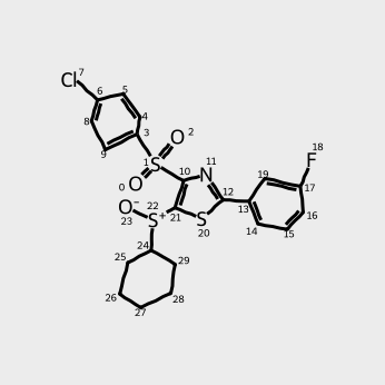 O=S(=O)(c1ccc(Cl)cc1)c1nc(-c2cccc(F)c2)sc1[S+]([O-])C1CCCCC1